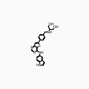 OCC(CO)NCc1ccc(-c2cc3ncnc(Nc4ccc5[nH]ccc5c4)c3s2)cc1